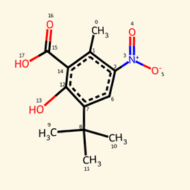 Cc1c([N+](=O)[O-])cc(C(C)(C)C)c(O)c1C(=O)O